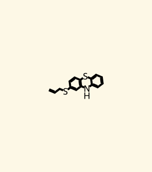 C=CCSc1ccc2c(c1)Nc1ccccc1S2